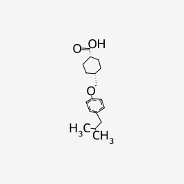 CC(C)Cc1ccc(OC[C@H]2CC[C@@H](C(=O)O)CC2)cc1